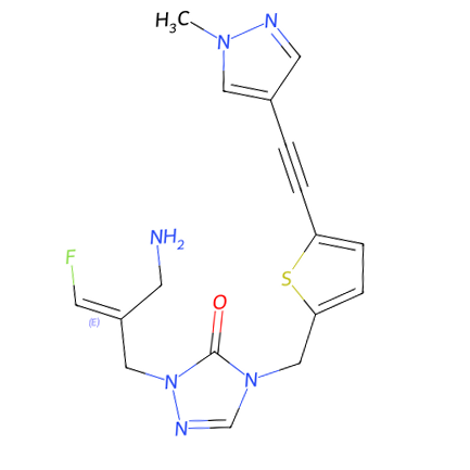 Cn1cc(C#Cc2ccc(Cn3cnn(C/C(=C/F)CN)c3=O)s2)cn1